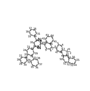 CC1(C)c2ccc(-c3ccc(-c4nc(-c5ccccc5)cc(-c5ccc(-c6ccccc6)c(-c6ccccc6)c5)n4)c4ccccc34)cc2-c2ccc3ccccc3c21